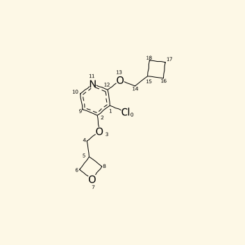 Clc1c(OCC2COC2)ccnc1OCC1CCC1